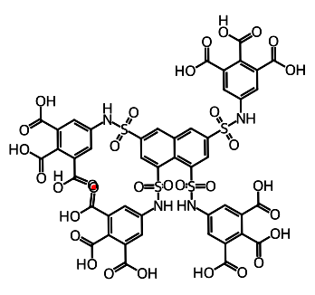 O=C(O)c1cc(NS(=O)(=O)c2cc(S(=O)(=O)Nc3cc(C(=O)O)c(C(=O)O)c(C(=O)O)c3)c3c(S(=O)(=O)Nc4cc(C(=O)O)c(C(=O)O)c(C(=O)O)c4)cc(S(=O)(=O)Nc4cc(C(=O)O)c(C(=O)O)c(C(=O)O)c4)cc3c2)cc(C(=O)O)c1C(=O)O